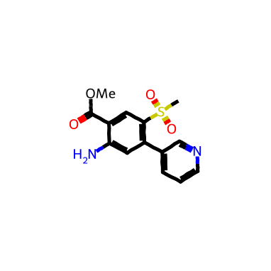 COC(=O)c1cc(S(C)(=O)=O)c(-c2cccnc2)cc1N